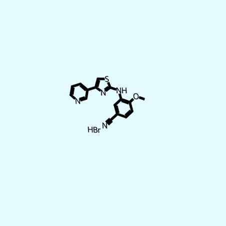 Br.COc1ccc(C#N)cc1Nc1nc(-c2cccnc2)cs1